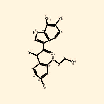 Cc1c(Cl)ccc2c(C(=O)C(Br)c3ccc(F)cc3OCCO)c[nH]c12